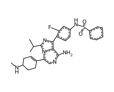 CNC1CC=C(c2cnc(N)c3c(-c4ccc(NS(=O)(=O)c5ccccc5)cc4F)nc(C(C)C)n23)CC1